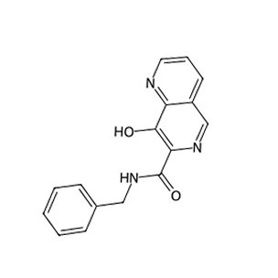 O=C(NCc1ccccc1)c1ncc2cccnc2c1O